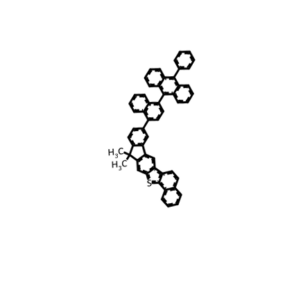 CC1(C)c2ccc(-c3ccc(-c4c5ccccc5c(-c5ccccc5)c5ccccc45)c4ccccc34)cc2-c2cc3c(cc21)sc1c2ccccc2ccc31